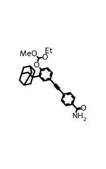 CCOC(OC)Oc1ccc(C#Cc2ccc(C(N)=O)cc2)cc1C12CC3CC(CC(C3)C1)C2